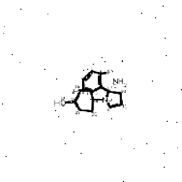 N[C@]1(c2cc(F)ccc2F)CCCN1[C]1CCC(O)CC1